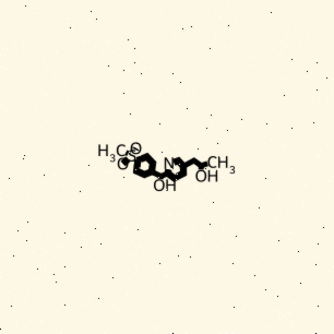 CC(O)Cc1ccc(C(O)c2ccc(S(C)(=O)=O)cc2)nc1